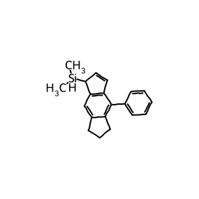 C[SiH](C)C1C=Cc2c1cc1c(c2-c2ccccc2)CCC1